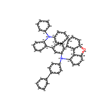 c1ccc(-c2ccc(N(c3cccc(-c4ccccc4N(c4ccccc4)c4ccccc4)c3)c3cccc4oc5ccccc5c34)cc2)cc1